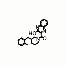 Cc1ccccc1CC1CCCN(C(=O)c2nc3ccccc3nc2O)C1